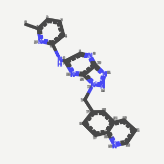 Cc1cccc(Nc2cnc3nnn(Cc4ccc5ncccc5c4)c3n2)n1